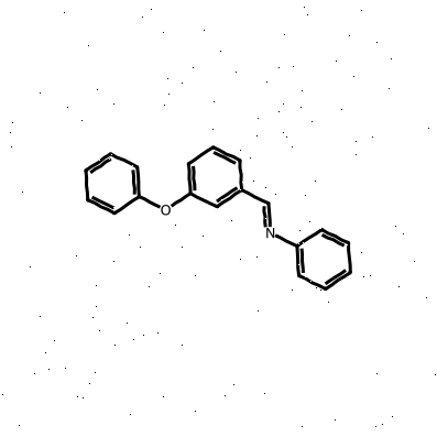 C(=N\c1ccccc1)/c1cccc(Oc2ccccc2)c1